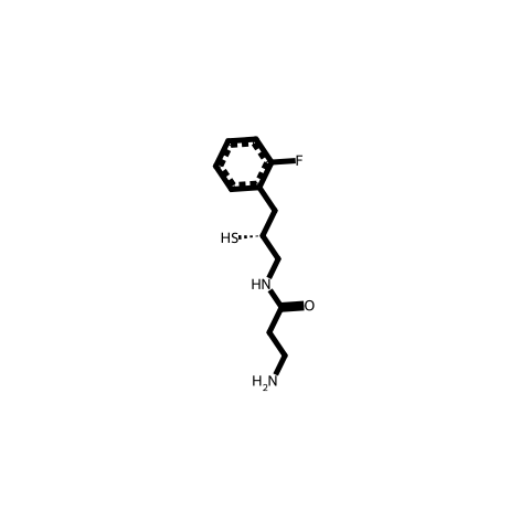 NCCC(=O)NC[C@H](S)Cc1ccccc1F